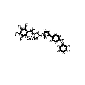 CSc1c(F)c(F)c(F)c(F)c1CNCCn1ccc(-c2ccc(Oc3ccccc3)cc2)n1